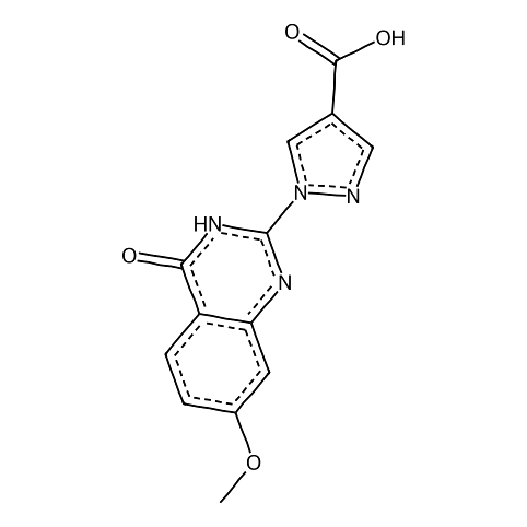 COc1ccc2c(=O)[nH]c(-n3cc(C(=O)O)cn3)nc2c1